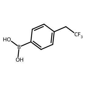 OB(O)c1ccc(CC(F)(F)F)cc1